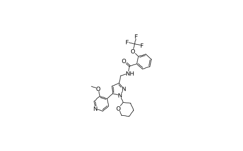 COc1cnccc1-c1cc(CNC(=O)c2ccccc2OC(F)(F)F)nn1C1CCCCO1